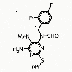 CCCSc1nc(N)c(NC)c(N(C=O)Cc2ccc(F)cc2F)n1